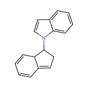 [c]1cn(C2CC=C3C=CC=CC32)c2ccccc12